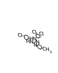 Cc1ccc2nc(NCc3ccc(Cl)cc3)c(Nc3ccc(Cl)c(Cl)c3)nc2c1